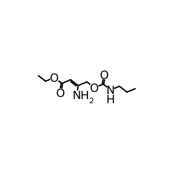 CCCNC(=O)OCC(N)=CC(=O)OCC